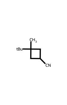 CC(C)(C)C1(C)CC(C#N)C1